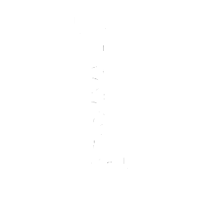 C=C(C)C(=O)S/C=C\Oc1ccc(-c2ccc(-c3ccc(O/C=C\SC(=O)C(=C)C)cc3)cc2)cc1